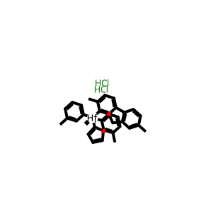 Cl.Cl.[CH2]=[Hf]([C]1=CC=CC1)([c]1cccc(C)c1)([c]1cccc(C)c1)[c]1c(C)ccc2c1Cc1cc(C)ccc1-2